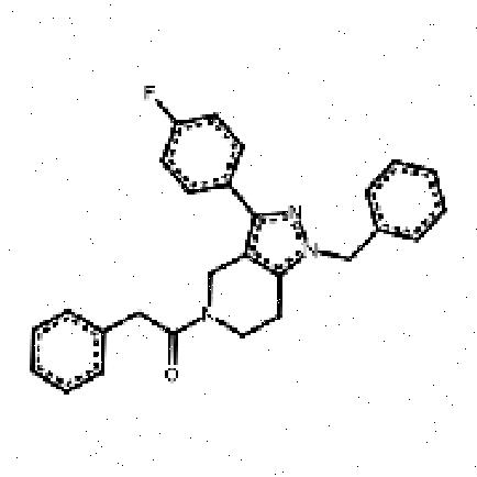 O=C(Cc1ccccc1)N1CCc2c(c(-c3ccc(F)cc3)nn2Cc2ccccc2)C1